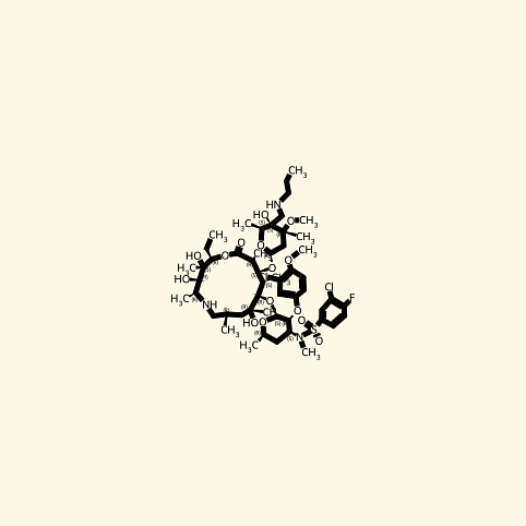 CCCNC[C@]1(O)[C@H](C)O[C@@H](O[C@H]2[C@H](C)[C@@H](O[C@@H]3O[C@H](C)C[C@H](N(C)S(=O)(=O)c4ccc(F)c(Cl)c4)[C@H]3Oc3ccc(OC)c(Cl)c3)[C@](C)(O)C[C@@H](C)CN[C@H](C)[C@@H](O)[C@](C)(O)[C@@H](CC)OC(=O)[C@@H]2C)C[C@@]1(C)OC